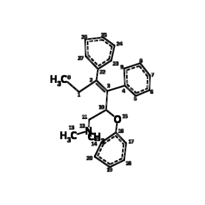 CCC(=C(c1ccccc1)C(CN(C)C)Oc1ccccc1)c1ccccc1